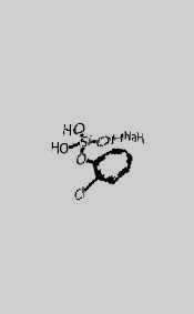 O[Si](O)(O)Oc1ccccc1Cl.[NaH]